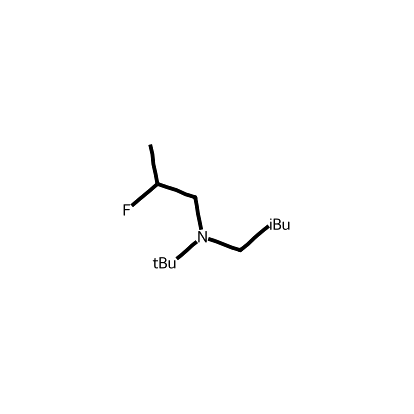 CCC(C)CN(CC(C)F)C(C)(C)C